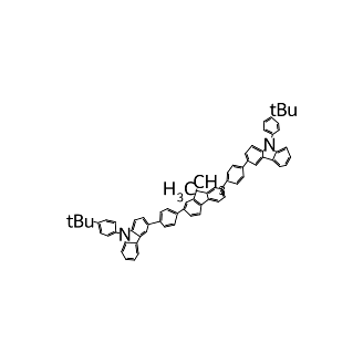 CC(C)(C)c1ccc(-n2c3ccccc3c3cc(-c4ccc(-c5ccc6c(c5)C(C)(C)c5cc(-c7ccc(-c8ccc9c(c8)c8ccccc8n9-c8ccc(C(C)(C)C)cc8)cc7)ccc5-6)cc4)ccc32)cc1